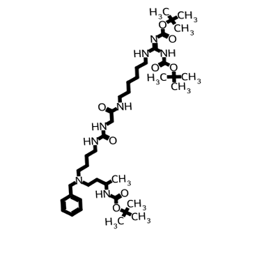 CC(CCN(CCCCNC(=O)NCC(=O)NCCCCCCN/C(=N/C(=O)OC(C)(C)C)NC(=O)OC(C)(C)C)Cc1ccccc1)NC(=O)OC(C)(C)C